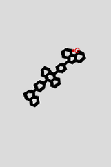 c1ccc2c(-c3ccc(-c4c5ccccc5c(-c5ccc(-c6cc7cccc8oc9cccc6c9c78)cc5)c5ccccc45)cc3)cccc2c1